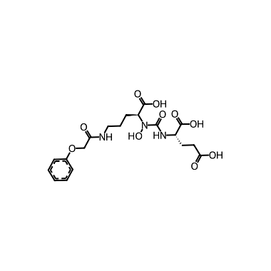 O=C(O)CC[C@H](NC(=O)N(O)[C@@H](CCCNC(=O)COc1ccccc1)C(=O)O)C(=O)O